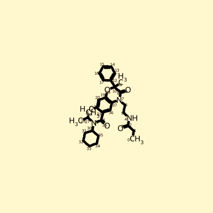 CCC(=O)NCCN1C(=O)C(C)(c2ccccc2)Oc2cc(C)c(C(=O)N(C(C)C)C3CCCCC3)cc21